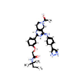 CCC(C)(C)NC(=O)COc1cccc(-c2nc3c(c(Nc4ccc(-c5cn[nH]c5)cc4)n2)CN(C(C)=O)CC3)c1